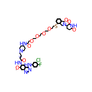 COc1cc2ncnc(Nc3ccc(F)c(Cl)c3)c2cc1NC(=O)/C=C/CN1CCC(NC(=O)COCCOCCOCCOCCSc2cccc3c2CN(C2CCC(=O)NC2=O)C3=O)CC1